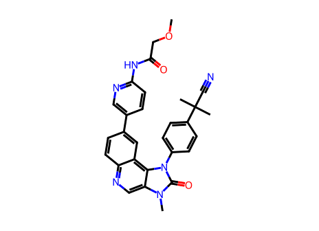 COCC(=O)Nc1ccc(-c2ccc3ncc4c(c3c2)n(-c2ccc(C(C)(C)C#N)cc2)c(=O)n4C)cn1